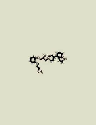 C=CCOc1ccccc1OCC(O)CN1CC=C(c2cccc3[nH]ccc23)CC1